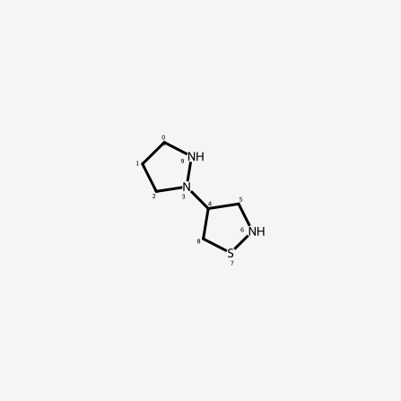 [CH]1CCN(C2CNSC2)N1